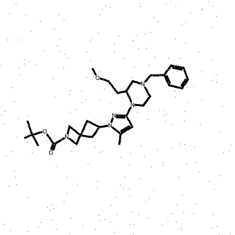 COCCC1CN(Cc2ccccc2)CCN1c1cc(C)n(C2CC3(C2)CN(C(=O)OC(C)(C)C)C3)n1